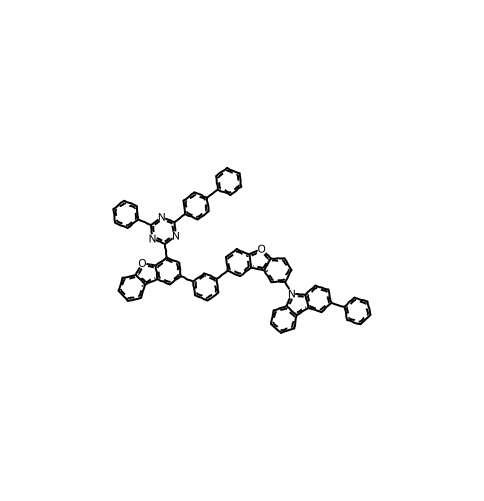 c1ccc(-c2ccc(-c3nc(-c4ccccc4)nc(-c4cc(-c5cccc(-c6ccc7oc8ccc(-n9c%10ccccc%10c%10cc(-c%11ccccc%11)ccc%109)cc8c7c6)c5)cc5c4oc4ccccc45)n3)cc2)cc1